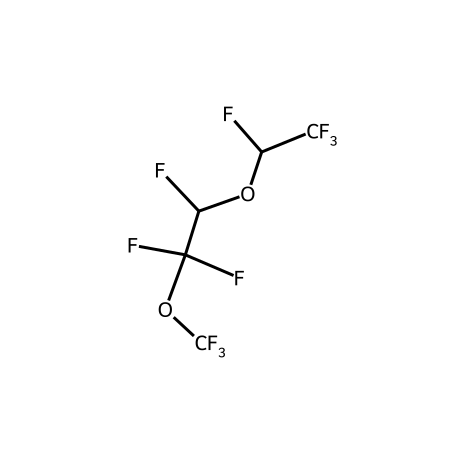 FC(OC(F)C(F)(F)OC(F)(F)F)C(F)(F)F